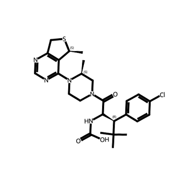 C[C@@H]1SCc2ncnc(N3CCN(C(=O)C(NC(=O)O)[C@@H](c4ccc(Cl)cc4)C(C)(C)C)C[C@@H]3C)c21